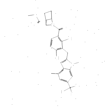 COC(=O)[C@]12CCC1N(C(=O)c1ccc(Cl)c(Cc3cc4c(C)cc(C(F)(F)F)cc4n3C)c1Cl)C2